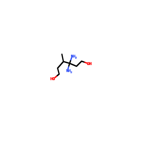 CC(CCO)C(N)(N)CCO